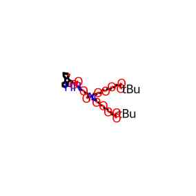 CC(C)(C)OC(=O)CCOCCOCCOCCN(CCOCCOCCOCCC(=O)OC(C)(C)C)C(=O)CCOCCNC(=O)OCC1c2ccccc2-c2ccccc21